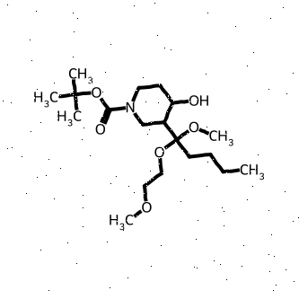 CCCCC(OC)(OCCOC)C1CN(C(=O)OC(C)(C)C)CCC1O